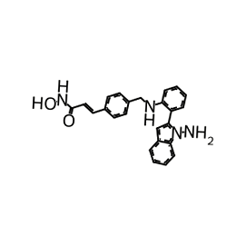 Nn1c(-c2ccccc2NCc2ccc(/C=C/C(=O)NO)cc2)cc2ccccc21